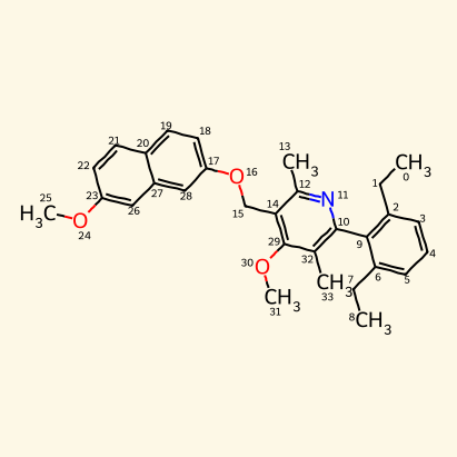 CCc1cccc(CC)c1-c1nc(C)c(COc2ccc3ccc(OC)cc3c2)c(OC)c1C